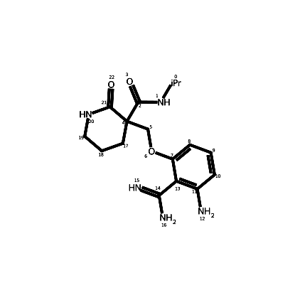 CC(C)NC(=O)C1(COc2cccc(N)c2C(=N)N)CCCNC1=O